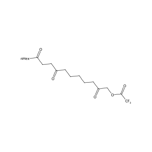 CCCCCCC(=O)CCC(=O)CCCCCC(=O)COC(=O)C(F)(F)F